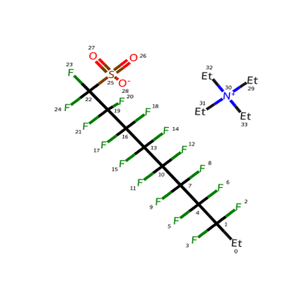 CCC(F)(F)C(F)(F)C(F)(F)C(F)(F)C(F)(F)C(F)(F)C(F)(F)C(F)(F)S(=O)(=O)[O-].CC[N+](CC)(CC)CC